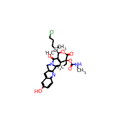 CCC1(OC(=O)NC)C(=O)OC([Si](C)(C)CCCCl)c2c1cc1n(c2=O)Cc2cc3cc(O)ccc3nc2-1